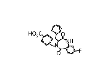 O=C(O)c1ccc(CN2C(=O)c3ccc(F)cc3NC(=O)C2Cc2cccnc2)cc1